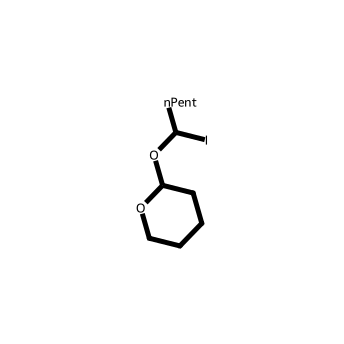 CCCCCC(I)OC1CCCCO1